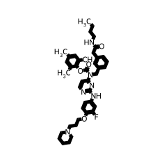 CCCCNC(=O)Cc1cccc(CN(C(=O)Oc2c(C)cc(C)cc2C)c2ccnc(Nc3ccc(OCCCN4CCCCC4)c(F)c3)n2)c1